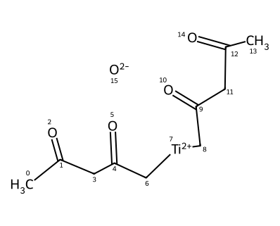 CC(=O)CC(=O)[CH2][Ti+2][CH2]C(=O)CC(C)=O.[O-2]